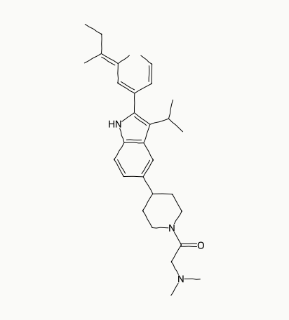 C\C=C/C(=C\C(C)=C(/C)CC)c1[nH]c2ccc(C3CCN(C(=O)CN(C)C)CC3)cc2c1C(C)C